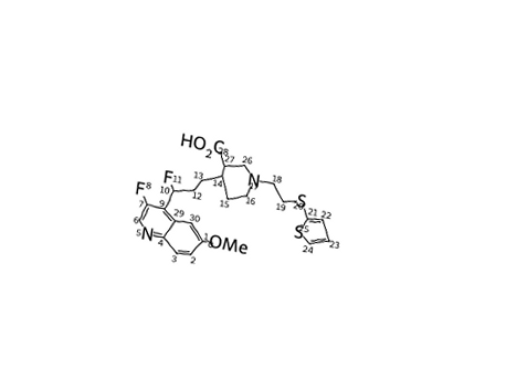 COc1ccc2ncc(F)c(C(F)CCC3CCN(CCSc4cccs4)CC3C(=O)O)c2c1